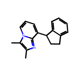 Cc1nc2c(C3CCc4ccccc43)cccn2c1C